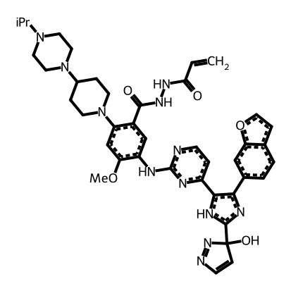 C=CC(=O)NNC(=O)c1cc(Nc2nccc(-c3[nH]c(C4(O)C=CN=N4)nc3-c3ccc4ccoc4c3)n2)c(OC)cc1N1CCC(N2CCN(C(C)C)CC2)CC1